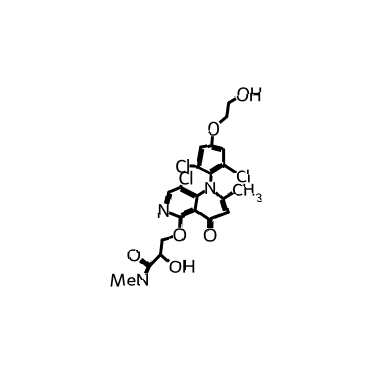 CNC(=O)C(O)COc1ncc(Cl)c2c1c(=O)cc(C)n2-c1c(Cl)cc(OCCO)cc1Cl